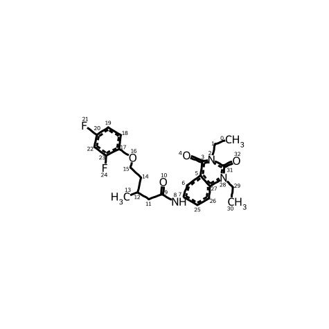 CCn1c(=O)c2cc(NC(=O)CC(C)CCOc3ccc(F)cc3F)ccc2n(CC)c1=O